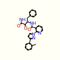 Cc1ccccc1-c1ccn(-c2ncccc2C(=O)NC(Cc2ccccc2)C(=O)C(N)=O)n1